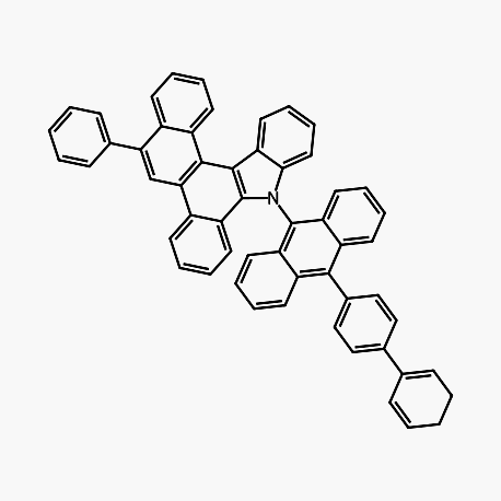 C1=CC(c2ccc(-c3c4ccccc4c(-n4c5ccccc5c5c6c7ccccc7c(-c7ccccc7)cc6c6ccccc6c54)c4ccccc34)cc2)=CCC1